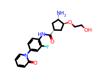 N[C@H]1C[C@@H](C(=O)Nc2ccc(-n3ccccc3=O)cc2F)C[C@@H]1OCCO